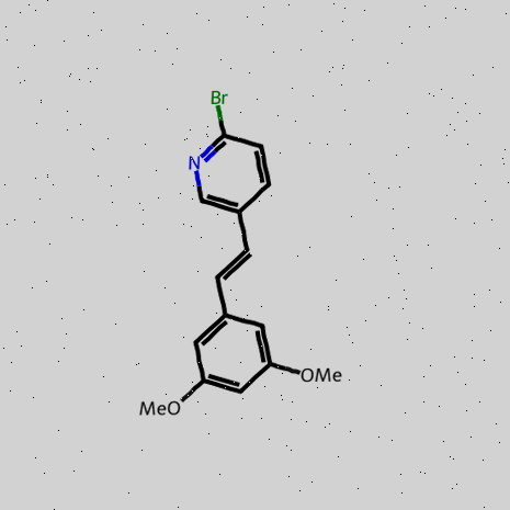 COc1cc(C=Cc2ccc(Br)nc2)cc(OC)c1